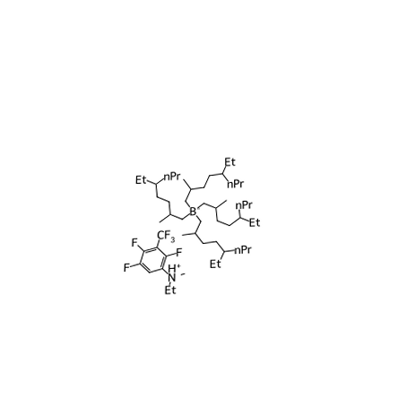 CCCC(CC)CCC(C)C[B-](CC(C)CCC(CC)CCC)(CC(C)CCC(CC)CCC)CC(C)CCC(CC)CCC.CC[NH+](C)c1cc(F)c(F)c(C(F)(F)F)c1F